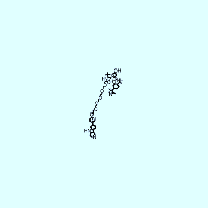 Cc1ncsc1-c1ccc(C(C)NC(=O)[C@@H]2C[C@@H](O)CN2C(=O)C(NC(=O)COCCOCCOCCOCCOCCOc2ccc(-c3ccc4c(c3)[nH]c3ccncc34)cn2)C(C)(C)C)cc1